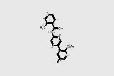 COc1ncc(Cl)cc1-c1cnc(NC(=O)c2ccncc2C)cn1